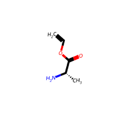 C=COC(=O)[C@H](C)N